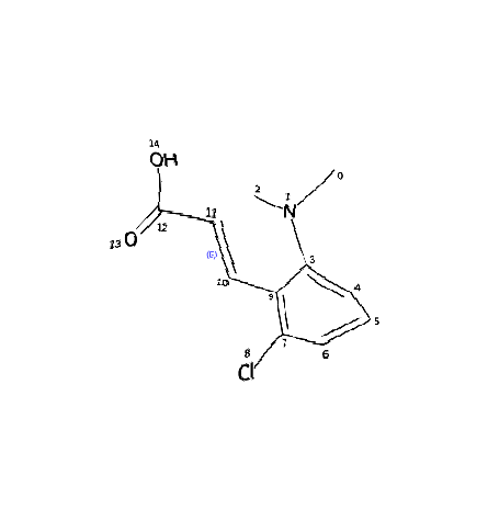 CN(C)c1cccc(Cl)c1/C=C/C(=O)O